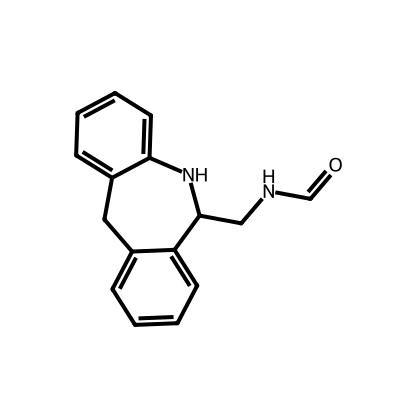 O=CNCC1Nc2ccccc2Cc2ccccc21